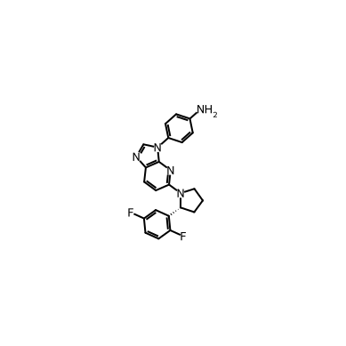 Nc1ccc(-n2cnc3ccc(N4CCC[C@@H]4c4cc(F)ccc4F)nc32)cc1